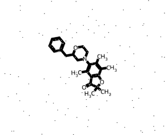 Cc1c(C)c(N2CCOC(Cc3ccccc3)C2)c(C)c2c1OC(C)(C)C2=O